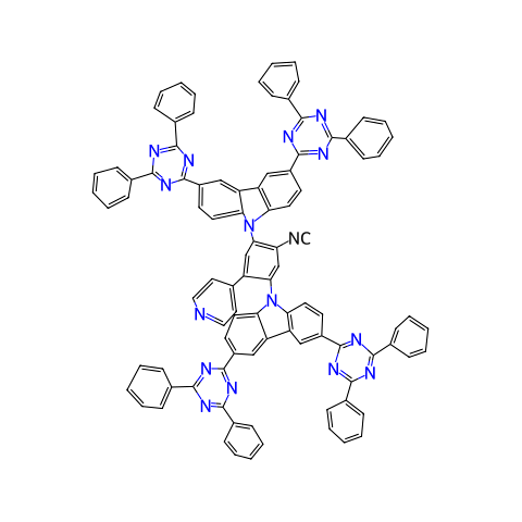 [C-]#[N+]c1cc(-n2c3ccc(-c4nc(-c5ccccc5)nc(-c5ccccc5)n4)cc3c3cc(-c4nc(-c5ccccc5)nc(-c5ccccc5)n4)ccc32)c(-c2ccncc2)cc1-n1c2ccc(-c3nc(-c4ccccc4)nc(-c4ccccc4)n3)cc2c2cc(-c3nc(-c4ccccc4)nc(-c4ccccc4)n3)ccc21